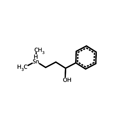 [CH3][SnH]([CH3])[CH2]CC(O)c1ccccc1